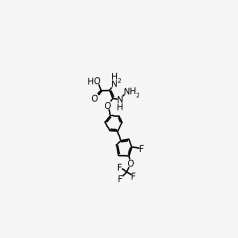 NN/C(Oc1ccc(-c2ccc(OC(F)(F)F)c(F)c2)cc1)=C(\N)C(=O)O